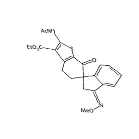 CCOC(=O)c1c(NC(C)=O)sc2c1CCC1(CC(=NOC)c3ccccc31)C2=O